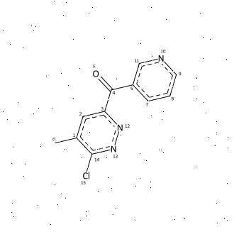 Cc1cc(C(=O)c2cccnc2)nnc1Cl